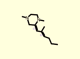 CCC/C=C(C)/C=C1/CN(C)CCN1C